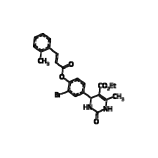 CCOC(=O)C1=C(C)NC(=O)NC1c1ccc(OC(=O)/C=C/c2ccccc2C)c(Br)c1